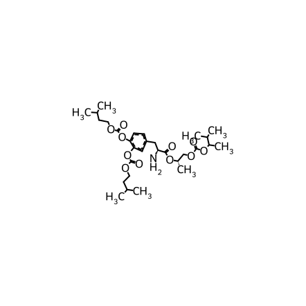 CC(C)CCOC(=O)Oc1ccc(C[C@H](N)C(=O)O[C@@H](C)COC(=O)OC(C)C(C)C)cc1OC(=O)OCCC(C)C